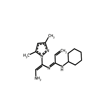 C=C/C(=N\C(=C/N)n1nc(C)cc1C)NC1CCCCC1